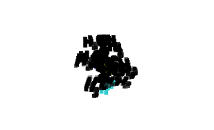 Cc1c2c(c(CC(C)(C)C)c3ccc(CC(C)(C)C)cc13)Sc1cc3c(CC(C)(C)C(F)(F)F)cccc3c3cc[n+](C)c-2c13